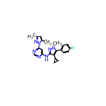 Cc1cc(C)n(-c2cc(Nc3nn(C)c(-c4ccc(F)cc4)c3C3CC3)ncn2)n1